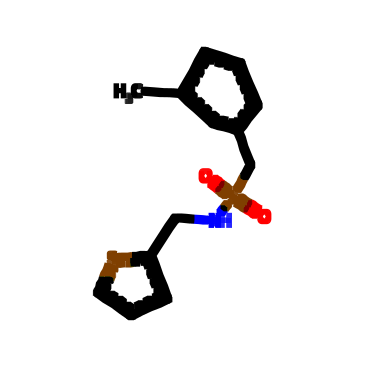 Cc1cccc(CS(=O)(=O)NCc2cccs2)c1